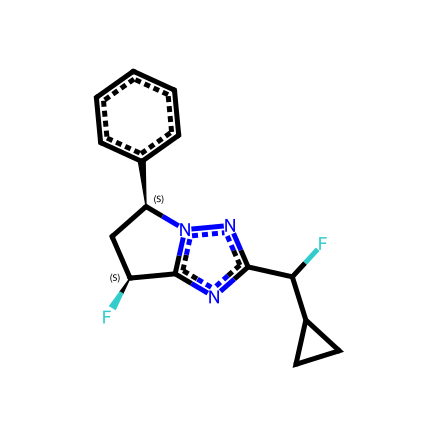 FC(c1nc2n(n1)[C@H](c1ccccc1)C[C@@H]2F)C1CC1